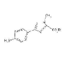 Bc1ccc(-c2cn(C)c(C(=O)OCC)n2)cc1